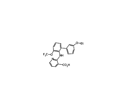 CCOc1cccc(-c2cccc(OC(F)(F)F)c2Nc2ncccc2C(=O)O)c1